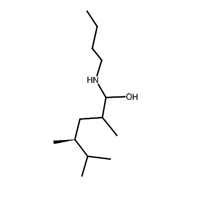 CCCCNC(O)C(C)C[C@H](C)C(C)C